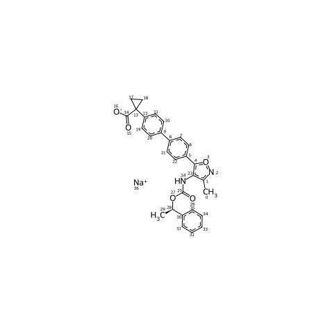 Cc1noc(-c2ccc(-c3ccc(C4(C(=O)[O-])CC4)cc3)cc2)c1NC(=O)O[C@H](C)c1ccccc1.[Na+]